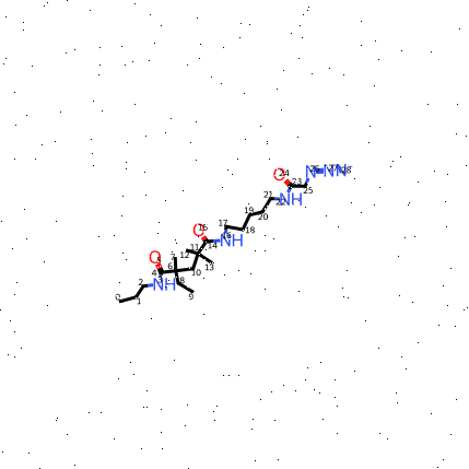 CCCNC(=O)C(C)(CC)CC(C)(C)C(=O)NCCCCCNC(=O)CN=[N+]=[N-]